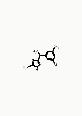 Cc1cc(Cl)cc(N(C)c2n[nH]c(N)n2)c1